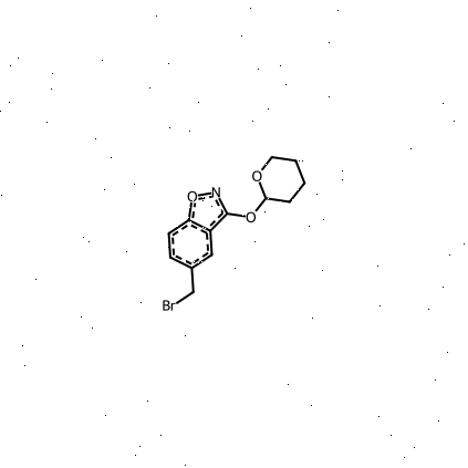 BrCc1ccc2onc(OC3CCCCO3)c2c1